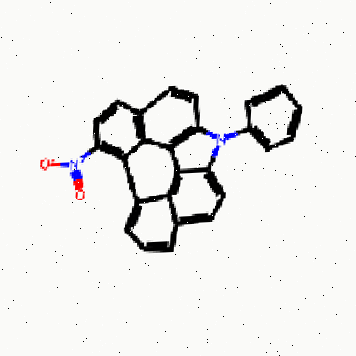 O=[N+]([O-])c1ccc2ccc3c4c2c1c1cccc2ccc(c4c21)n3-c1ccccc1